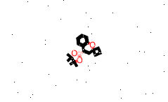 CC1(C)OB(C2=CC3(CCC3)Oc3ccccc32)OC1(C)C